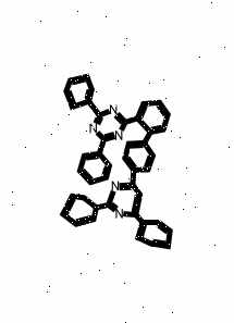 C1=CCC(c2nc(-c3ccccc3)cc(-c3ccc(-c4ccccc4-c4nc(-c5ccccc5)nc(-c5ccccc5)n4)cc3)n2)C=C1